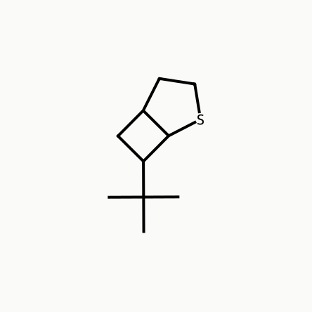 CC(C)(C)C1CC2CCSC21